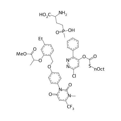 CCCCCCCCSC(=O)Oc1cc(Cl)nnc1-c1ccccc1.CCc1ccc(COc2ccc(-n3c(=O)cc(C(F)(F)F)n(C)c3=O)cc2)c(OC(C)C(=O)OC)c1.CP(=O)(O)CCC(N)C(=O)O